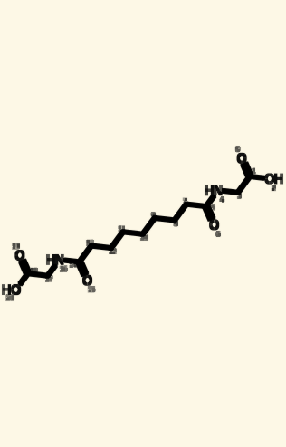 O=C(O)CNC(=O)CCCCCCCC(=O)NCC(=O)O